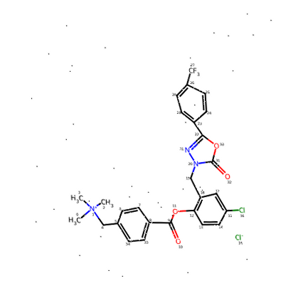 C[N+](C)(C)Cc1ccc(C(=O)Oc2ccc(Cl)cc2Cn2nc(-c3ccc(C(F)(F)F)cc3)oc2=O)cc1.[Cl-]